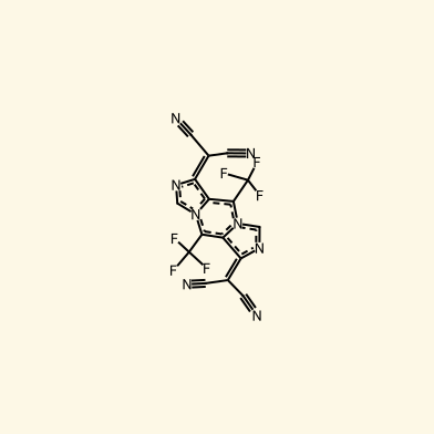 N#CC(C#N)=c1ncn2c(C(F)(F)F)c3c(=C(C#N)C#N)ncn3c(C(F)(F)F)c12